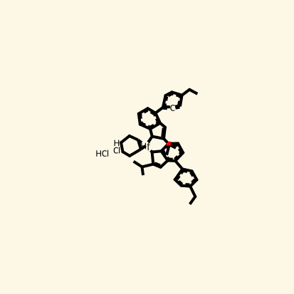 CCc1ccc(-c2cccc3c2C=C(C(C)C)[CH]3[Hf]2([CH]3C(C(C)C)=Cc4c(-c5ccc(CC)cc5)cccc43)[CH]3CCCC[CH]32)cc1.Cl.Cl